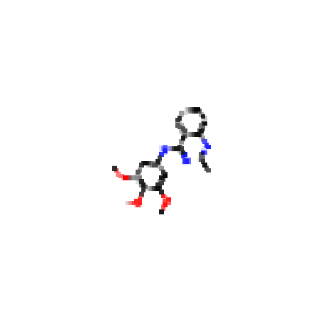 COc1cc(Nc2nc(C)nc3ccccc23)cc(OC)c1OC